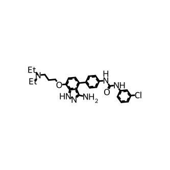 CCN(CC)CCCOc1ccc(-c2ccc(NC(=O)Nc3cccc(Cl)c3)cc2)c2c(N)n[nH]c12